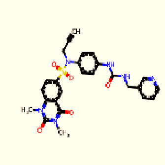 C#CCN(c1ccc(NC(=O)NCc2cccnc2)cc1)S(=O)(=O)c1ccc2c(c1)c(=O)n(C)c(=O)n2C